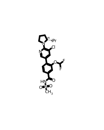 CC(C)[C@H]1CCCN1c1ncc(-c2ccc(C(=O)NS(C)(=O)=O)cc2OC(F)F)cc1Cl